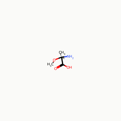 CO[C@@](C)(N)C(=O)O